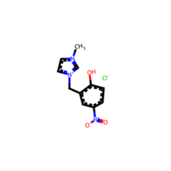 Cn1cc[n+](Cc2cc([N+](=O)[O-])ccc2O)c1.[Cl-]